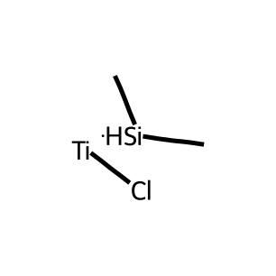 C[SiH]C.[Cl][Ti]